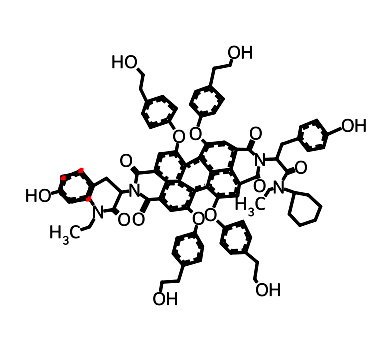 CCN(C(=O)C(Cc1ccc(O)cc1)N1C(=O)c2cc(Oc3ccc(CCO)cc3)c3c4c(Oc5ccc(CCO)cc5)cc5c6c(cc(Oc7ccc(CCO)cc7)c(c7c(Oc8ccc(CCO)cc8)cc(c2c37)C1=O)c64)C(=O)N(C(Cc1ccc(O)cc1)C(=O)N(CC)C1CCCCC1)C5=O)C1CCCCC1